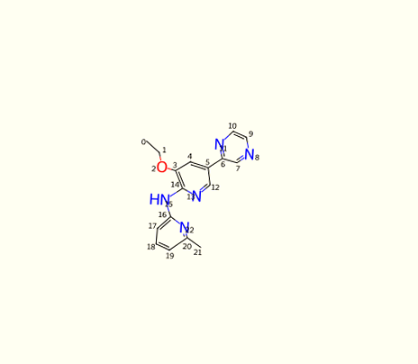 CCOc1cc(-c2cnccn2)cnc1Nc1cccc(C)n1